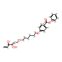 C=CC(=O)C(O)CCOCCCCCCOc1ccc(C(=O)Oc2ccccc2)cc1